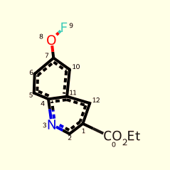 CCOC(=O)c1cnc2ccc(OF)cc2c1